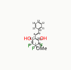 COC1(F)C(F)=C(O)C(C=Cc2ccccc2)=C(O)C1F